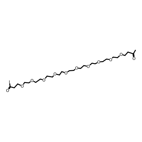 CC(=O)CCOCCOCCOCCOCCOCCOCCOCCOCCOCCOCCC(=O)I